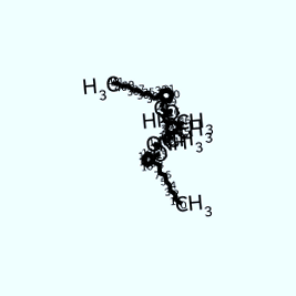 CCCCCCCCCc1ccccc1OC(=O)NCC1(C)CC(NC(=O)Oc2ccccc2CCCCCCCCC)CC(C)(C)C1